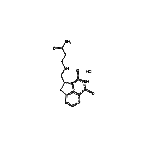 Cl.NC(=O)CCNCC1Cc2cccc3c(=O)[nH]c(=O)n1c23